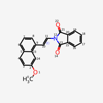 COc1ccc2cccc(/C=C/N3C(=O)c4ccccc4C3=O)c2c1